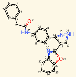 O=C(Cc1ccccc1)Nc1ccc(-c2n[nH]cc2-c2nc3ccccc3o2)cc1